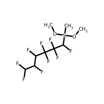 CO[Si](C)(OC)C(F)C(F)(F)C(F)(F)C(F)C(F)C(F)F